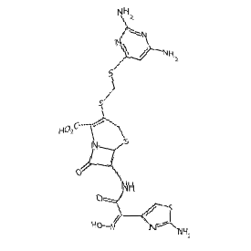 Nc1cc(SCSC2=C(C(=O)O)N3C(=O)C(NC(=O)/C(=N\O)c4csc(N)n4)C3SC2)nc(N)n1